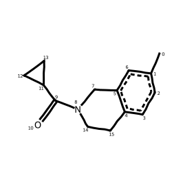 Cc1ccc2c(c1)CN(C(=O)C1CC1)CC2